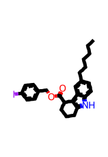 CCCCCCc1ccc2[nH]c3c(c2c1)C(C(=O)OCc1ccc(I)cc1)CCC3